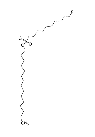 CCCCCCCCCCCCCCCOS(=O)(=O)CCCCCCCCCCF